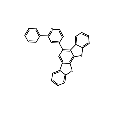 c1ccc(-c2cc(-c3cc4c5ccccc5sc4c4sc5ccccc5c34)ccn2)cc1